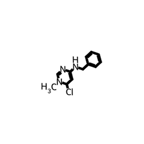 CN1C=NC(NCc2ccccc2)=CC1Cl